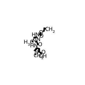 C=CCOC(=O)Nc1cn(C)c(C(=O)Nc2cc(C(=O)O)n(C)c2)n1